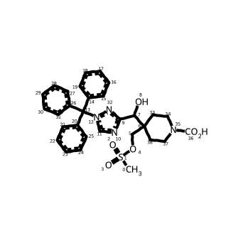 CS(=O)(=O)OCC1(C(O)c2ncn(C(c3ccccc3)(c3ccccc3)c3ccccc3)n2)CCN(C(=O)O)CC1